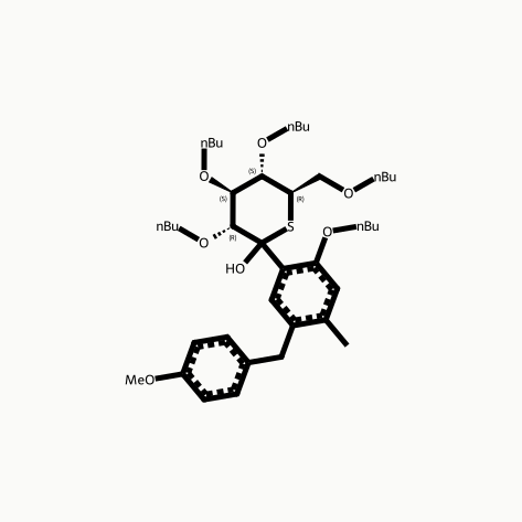 CCCCOC[C@H]1SC(O)(c2cc(Cc3ccc(OC)cc3)c(C)cc2OCCCC)[C@H](OCCCC)[C@@H](OCCCC)[C@@H]1OCCCC